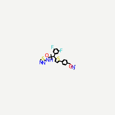 CN(C)OCc1ccc(-c2ccc(C(c3cc(F)cc(F)c3)C(C)(C)C(=O)Nc3nncs3)s2)cc1